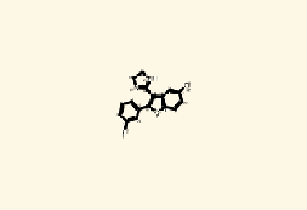 Clc1cccc(-c2oc3ccc(Cl)cc3c2C2=NCCN2)c1